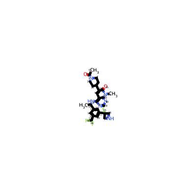 CC(=O)N1CCC(c2cc3c(NC(C)c4cc(C(F)F)cc(C5(F)CNC5)c4)ncnc3n(C)c2=O)CC1